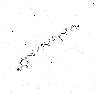 CC(C)(C)c1ccc(CNCCCCNCCCNC(=O)CCCCC(=O)O)cc1